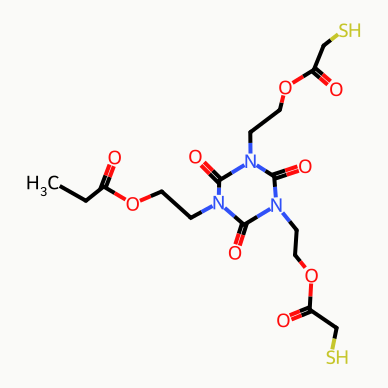 CCC(=O)OCCn1c(=O)n(CCOC(=O)CS)c(=O)n(CCOC(=O)CS)c1=O